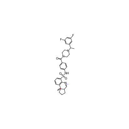 C=Cc1cccc(S(=O)(=O)Nc2ccc(C(=O)N3CCN(C(C)c4cc(F)cc(F)c4)CC3)cc2)c1/N=C\C1CCCC1